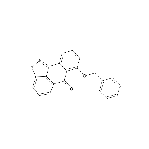 O=C1c2c(OCc3cccnc3)cccc2-c2n[nH]c3cccc1c23